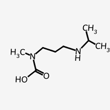 CC(C)NCCCN(C)C(=O)O